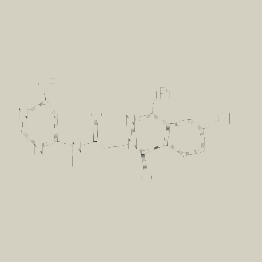 CC(C)c1nn(CC(=O)Nc2cc(C(F)(F)F)ncn2)c(=O)c2ccc(C(F)(F)F)cc12